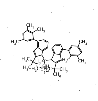 Cc1cc(C)c(C)c(-c2cccc3c2C=C(C(C)(C)C)[CH]3[Zr]([CH]2C(C(C)(C)C)=Cc3c(-c4cc(C)cc(C)c4C)cccc32)[SiH](C)C)c1